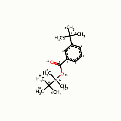 CC(C)(C)c1cccc(C(=O)O[Si](C)(C)C(C)(C)C)c1